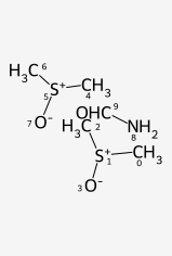 C[S+](C)[O-].C[S+](C)[O-].NC=O